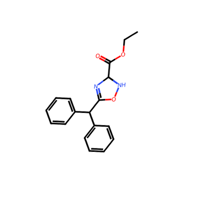 CCOC(=O)C1N=C(C(c2ccccc2)c2ccccc2)ON1